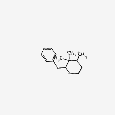 CC1CC[CH]C(Cc2ccccc2)C1(C)C